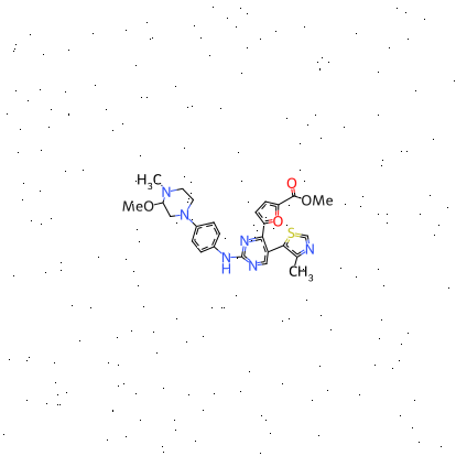 COC(=O)c1ccc(-c2nc(Nc3ccc(N4CCN(C)C(OC)C4)cc3)ncc2-c2scnc2C)o1